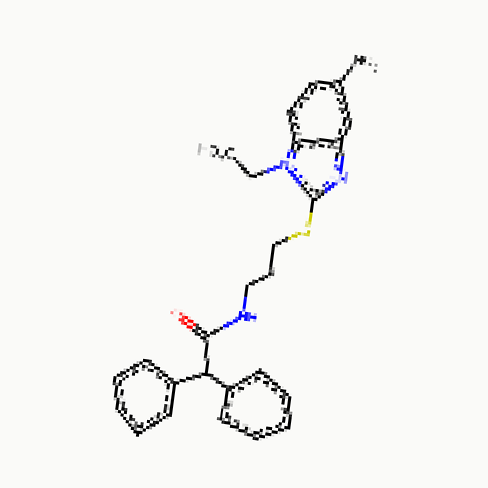 O=C(O)Cn1c(SCCCNC(=O)C(c2ccccc2)c2ccccc2)nc2cc([N+](=O)[O-])ccc21